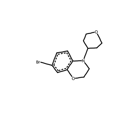 Brc1ccc2c(c1)OCCN2C1CCOCC1